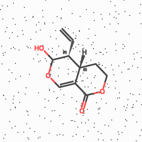 C=C[C@H]1C(O)OC=C2C(=O)OCC[C@H]21